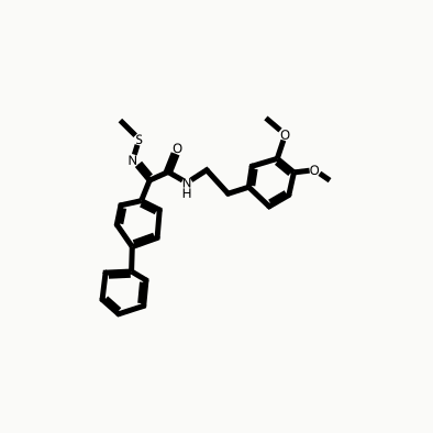 COc1ccc(CCNC(=O)/C(=N\SC)c2ccc(-c3ccccc3)cc2)cc1OC